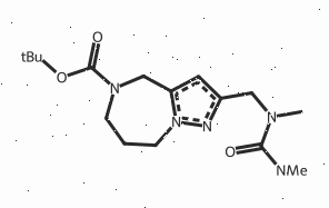 CNC(=O)N(C)Cc1cc2n(n1)CCCN(C(=O)OC(C)(C)C)C2